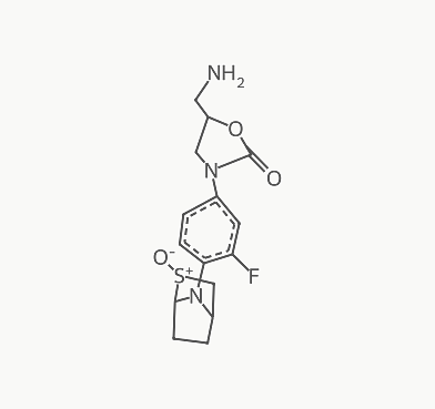 NCC1CN(c2ccc(N3C4CCC3[S+]([O-])C4)c(F)c2)C(=O)O1